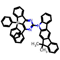 CC1(C)c2ccccc2-c2cc3c4ccccc4n(-c4nc(-c5ccccc5)c5c(n4)-c4ccccc4[Si]5(c4ccccc4)c4ccccc4)c3cc21